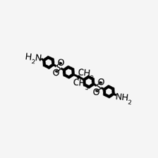 CC(C)(c1ccc(S(=O)(=O)c2ccc(N)cc2)cc1)c1ccc(S(=O)(=O)c2ccc(N)cc2)cc1